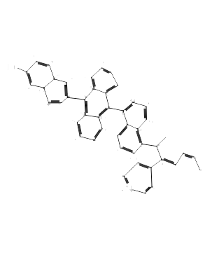 C/C=C\C=C(\c1ccncc1)C(C)c1cccc2c(-c3c4ccccc4c(C4=CC5C=CC(CC)=CC5C=C4)c4ccccc34)cccc12